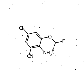 N#Cc1cc(Cl)cc(OC(F)F)c1N